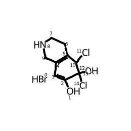 Br.OC1=CC2=C(CCNC2)C(Cl)C1(O)Cl